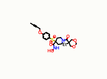 CC#CCOc1ccc(S(=O)(=O)C2(C(=O)NO)CCN(C(=O)C3(CC)COCOC3)CC2)cc1